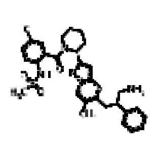 Cc1cn2nc([C@@H]3CCCCN3C(=O)c3cc(Cl)ccc3NS(C)(=O)=O)cc2nc1CC(CN)c1ccccc1